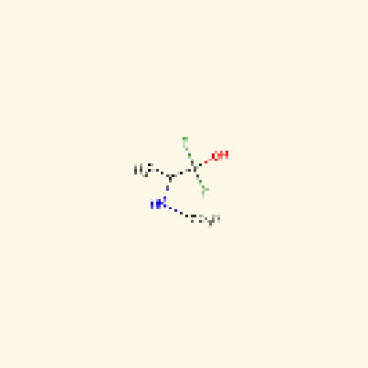 CC(NC(=O)O)C(O)(F)F